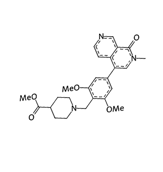 COC(=O)C1CCN(Cc2c(OC)cc(-c3cn(C)c(=O)c4cnccc34)cc2OC)CC1